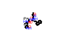 Cc1cc(C(=O)N[C@@H](CCc2cccc3ccccc23)C(=O)N[C@@H](CC(C)C)C(=O)N[C@H](CC#N)C[C@@H]2CCCNC2=O)no1